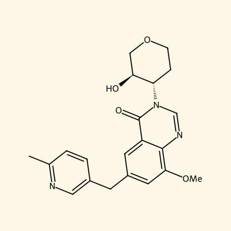 COc1cc(Cc2ccc(C)nc2)cc2c(=O)n([C@H]3CCOC[C@@H]3O)cnc12